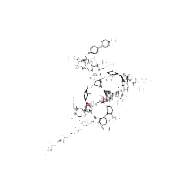 CN[C@H](CC(C)C)C(=O)N[C@H]1C(=O)N[C@@H](CC(N)=O)C(=O)N[C@H]2C(=O)N[C@H]3C(=O)N[C@H](C(=O)N[C@H](C(=O)NCCCNCCCCNCCCN)c4cc(O)ccc4-c4cc3ccc4C(O)O)[C@H](O[C@H]3C[C@](C)(N)[C@@H](O)[C@H](C)O3)c3ccc(c(Cl)c3)Oc3cc2cc(c3O[C@@H]2O[C@H](CO)[C@@H](O)[C@H](O)[C@H]2O[C@H]2C[C@](C)(NCc3ccc(-c4ccc(Cl)cc4)cc3)[C@@H](O)[C@H](C)O2)Oc2ccc(cc2Cl)[C@H]1O